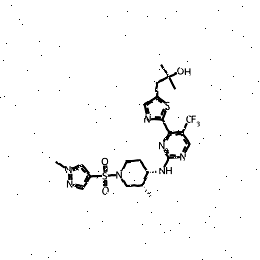 C[C@@H]1CN(S(=O)(=O)c2cnn(C)c2)CC[C@@H]1Nc1ncc(C(F)(F)F)c(-c2ncc(CC(C)(C)O)s2)n1